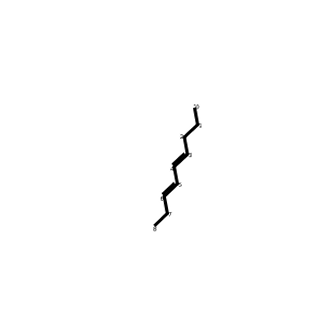 [CH2]CCC=CC=CCC